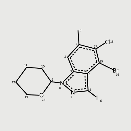 Cc1cc2c(c(I)nn2C2CCCCO2)c(Br)c1Cl